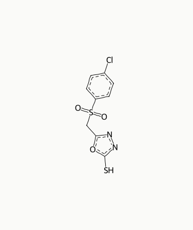 O=S(=O)(Cc1nnc(S)o1)c1ccc(Cl)cc1